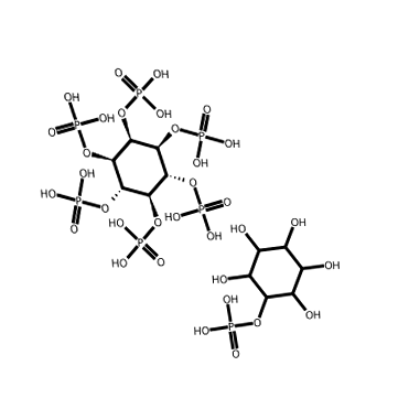 O=P(O)(O)OC1C(O)C(O)C(O)C(O)C1O.O=P(O)(O)O[C@H]1[C@H](OP(=O)(O)O)[C@@H](OP(=O)(O)O)[C@H](OP(=O)(O)O)[C@@H](OP(=O)(O)O)[C@H]1OP(=O)(O)O